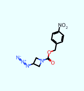 [N-]=[N+]=NC1CN(C(=O)OCc2ccc([N+](=O)[O-])cc2)C1